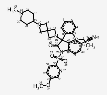 CCOc1ccccc1C1(N2CC3(CN(C4CCN(C)CC4)C3)C2)C(=O)N(S(=O)(=O)c2ccc(OC)cn2)c2ccc(C#N)cc21